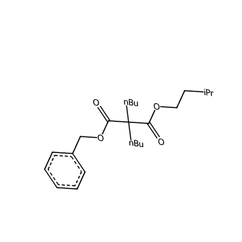 CCCCC(CCCC)(C(=O)OCCC(C)C)C(=O)OCc1ccccc1